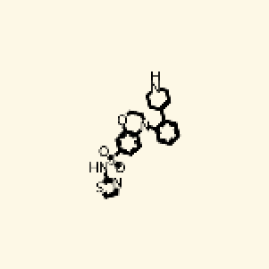 O=S(=O)(Nc1nccs1)c1ccc2c(c1)OCCN2c1ccccc1C1=CCNCC1